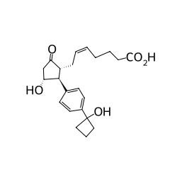 O=C(O)CCC/C=C\C[C@H]1C(=O)C[C@@H](O)[C@@H]1c1ccc(C2(O)CCC2)cc1